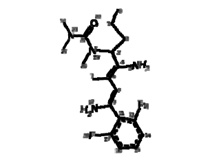 CCCC(/C(N)=C(C)/C=C(\N)c1c(F)cccc1F)N(C)C(=O)N(C)C